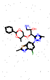 Cc1nc(C(OC2COC(c3ccccc3)OC2C)C(O)CN)n(-c2cc(F)c3nc(C)sc3c2)n1